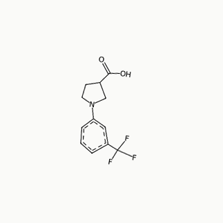 O=C(O)C1CCN(c2cccc(C(F)(F)F)c2)C1